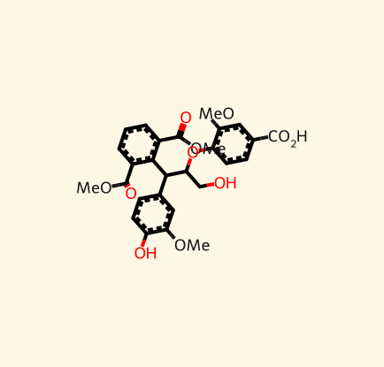 COC(=O)c1cccc(C(=O)OC)c1C(c1ccc(O)c(OC)c1)C(CO)Oc1ccc(C(=O)O)cc1OC